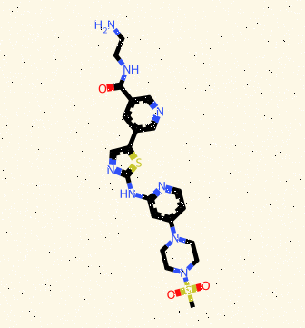 CS(=O)(=O)N1CCN(c2ccnc(Nc3ncc(-c4cncc(C(=O)NCCN)c4)s3)c2)CC1